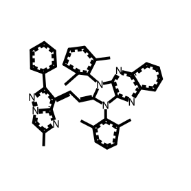 Cc1cn2nc(-c3ccccc3)/c(=C/C=C3N(c4c(C)cccc4C)c4nc5ccccc5nc4N3c3c(C)cccc3C)c2n1